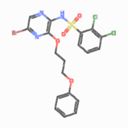 O=S(=O)(Nc1ncc(Br)nc1OCCCOc1ccccc1)c1cccc(Cl)c1Cl